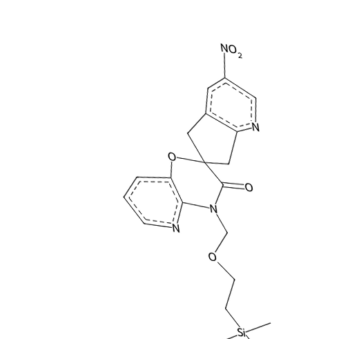 C[Si](C)(C)CCOCN1C(=O)C2(Cc3cc([N+](=O)[O-])cnc3C2)Oc2cccnc21